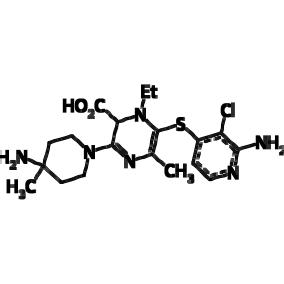 CCN1C(Sc2ccnc(N)c2Cl)=C(C)N=C(N2CCC(C)(N)CC2)C1C(=O)O